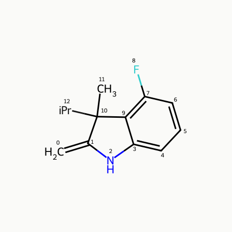 C=C1Nc2cccc(F)c2C1(C)C(C)C